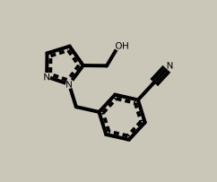 N#Cc1cccc(Cn2nccc2CO)c1